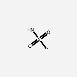 [CH2]S([NH])(=O)=O